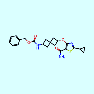 NC(=O)c1sc(C2CC2)nc1O[C@H]1CC2(C[C@H](NC(=O)OCc3ccccc3)C2)C1